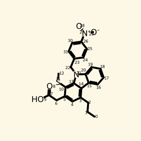 CCCc1cc(CC(=O)O)c(SC)c2c1c1ccccc1n2Cc1ccc([N+](=O)[O-])cc1